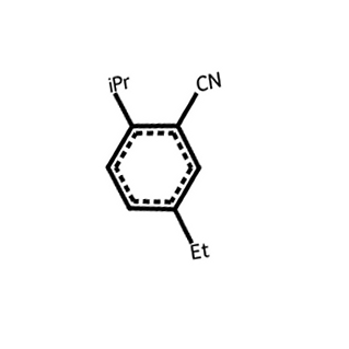 CCc1ccc(C(C)C)c(C#N)c1